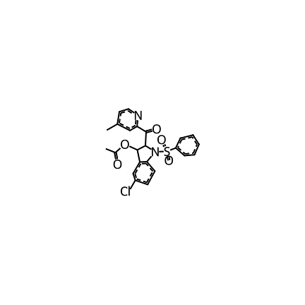 CC(=O)OC1c2cc(Cl)ccc2N(S(=O)(=O)c2ccccc2)C1C(=O)c1cc(C)ccn1